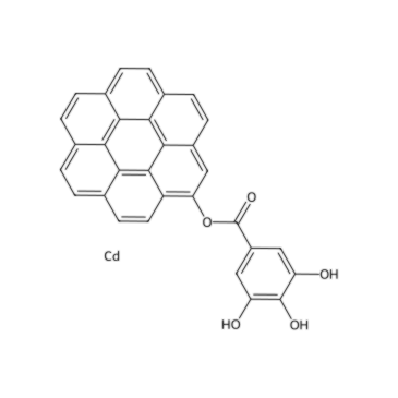 O=C(Oc1cc2ccc3ccc4ccc5ccc6ccc1c1c6c5c4c3c21)c1cc(O)c(O)c(O)c1.[Cd]